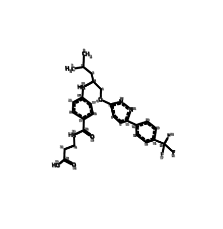 CC(C)CC(COc1ccc(-c2ccc(C(F)(F)F)cc2)nn1)Nc1ccc(C(=O)NCCC(=O)O)cc1